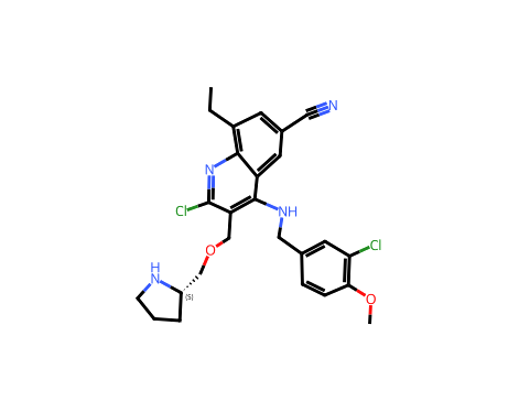 CCc1cc(C#N)cc2c(NCc3ccc(OC)c(Cl)c3)c(COC[C@@H]3CCCN3)c(Cl)nc12